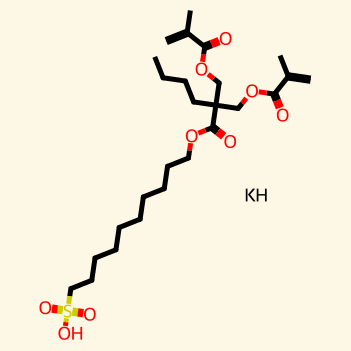 C=C(C)C(=O)OCC(CCCC)(COC(=O)C(=C)C)C(=O)OCCCCCCCCCCS(=O)(=O)O.[KH]